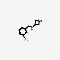 FC(F)(F)c1cccc(CNC2CNC2)c1